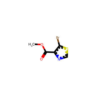 COC(=O)c1ncsc1Br